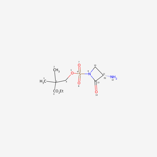 CCOC(=O)C(C)(C)COS(=O)(=O)N1C[C@H](N)C1=O